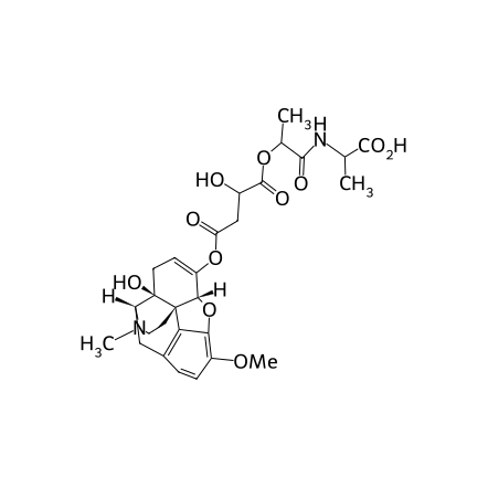 COc1ccc2c3c1O[C@H]1C(OC(=O)CC(O)C(=O)OC(C)C(=O)NC(C)C(=O)O)=CC[C@@]4(O)[C@@H](C2)N(C)CC[C@]314